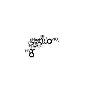 CCCCCCCC(C)C(=O)N[C@@H](Cc1c[nH]c2ccccc12)C(=O)N[C@H](CC(N)=O)C(=O)OCc1ccc([N+](=O)[O-])cc1